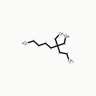 CCCCCC(CC)(CO)CCC